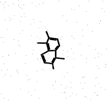 Cc1ccc2c(C)c(C)ccc2c1C